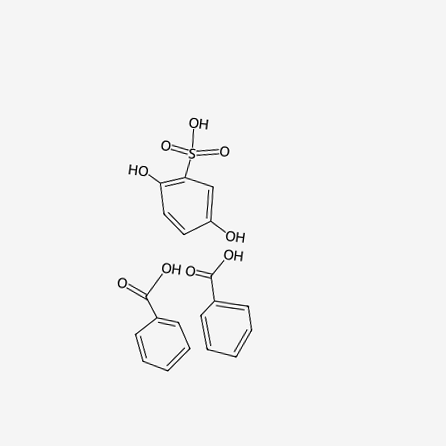 O=C(O)c1ccccc1.O=C(O)c1ccccc1.O=S(=O)(O)c1cc(O)ccc1O